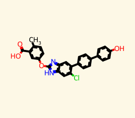 Cc1ccc(Oc2nc3cc(-c4ccc(-c5ccc(O)cc5)cc4)c(Cl)cc3[nH]2)cc1C(=O)O